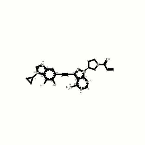 C=CC(=O)N1CC[C@H](n2nc(C#Cc3cc4ncn(C5CC5)c4c(F)c3F)c3c(N)ncnc32)C1